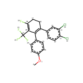 COc1ccc(C2=C(c3ccc(Cl)c(Cl)c3)C[CH]C(F)=C2C(F)(F)F)cc1